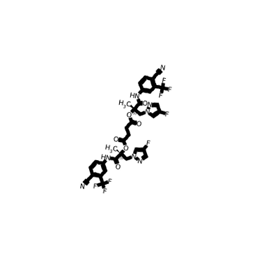 C[C@@](Cn1cc(F)cn1)(OC(=O)CCC(=O)O[C@@](C)(Cn1cc(F)cn1)C(=O)Nc1ccc(C#N)c(C(F)(F)F)c1)C(=O)Nc1ccc(C#N)c(C(F)(F)F)c1